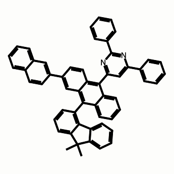 CC1(C)c2ccccc2-c2c(-c3c4ccccc4c(-c4cc(-c5ccccc5)nc(-c5ccccc5)n4)c4ccc(-c5ccc6ccccc6c5)cc34)cccc21